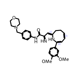 COc1ccc(/C2=C/C=C\CC/C(=C/C(=N)C(=O)Nc3ccc(CN4CCOCC4)cc3)N2)cc1OC